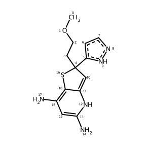 COCCC1(c2ccn[nH]2)C=C2NC(N)=CC(N)=C2S1